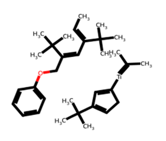 CC=C(C=C(COc1ccccc1)C(C)(C)C)C(C)(C)C.C[C](C)=[Ti][C]1=CC(C(C)(C)C)=CC1